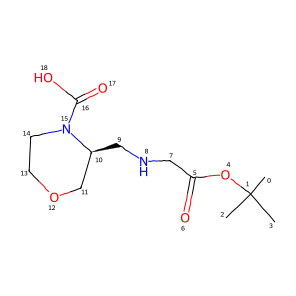 CC(C)(C)OC(=O)CNC[C@H]1COCCN1C(=O)O